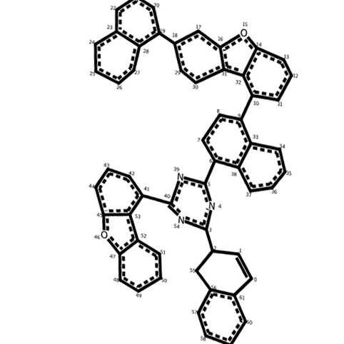 C1=CC(c2nc(-c3ccc(-c4cccc5oc6cc(-c7cccc8ccccc78)ccc6c45)c4ccccc34)nc(-c3cccc4oc5ccccc5c34)n2)Cc2ccccc21